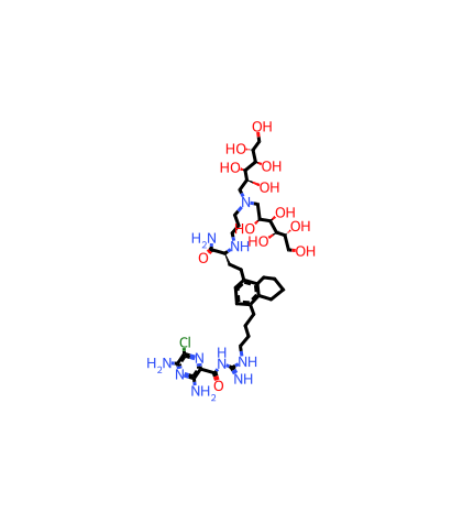 N=C(NCCCCc1ccc(CC[C@H](NCCCN(C[C@H](O)[C@@H](O)[C@H](O)[C@H](O)CO)C[C@H](O)[C@@H](O)[C@H](O)[C@H](O)CO)C(N)=O)c2c1CCCC2)NC(=O)c1nc(Cl)c(N)nc1N